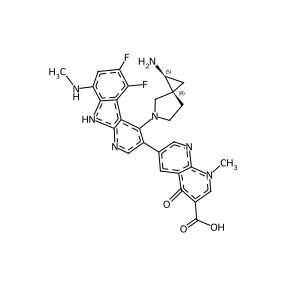 CNc1cc(F)c(F)c2c1[nH]c1ncc(-c3cnc4c(c3)c(=O)c(C(=O)O)cn4C)c(N3CC[C@@]4(C[C@@H]4N)C3)c12